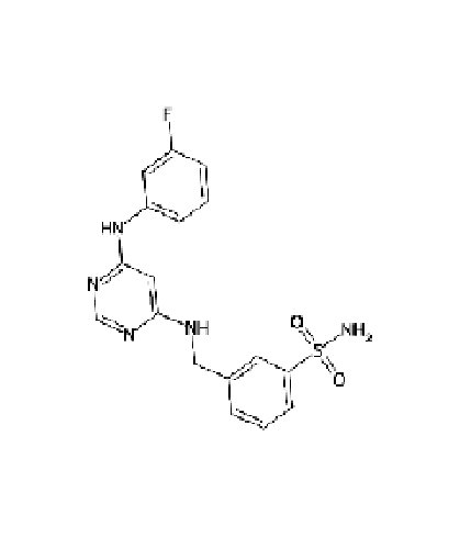 NS(=O)(=O)c1cccc(CNc2cc(Nc3cccc(F)c3)ncn2)c1